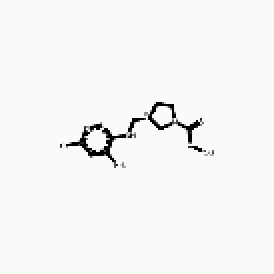 CC(C)(C)OC(=O)N1CC[C@H](CNc2nnc(Cl)cc2N)C1